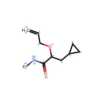 C=CCOC(CC1CC1)C(=O)NCC